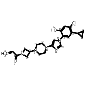 C=CC(=O)N1CC(N2CCN(c3cn(-c4cc(C5CC5)c(Cl)cc4O)cn3)CC2)C1